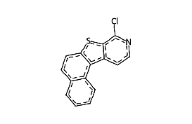 Clc1nccc2c1sc1ccc3ccccc3c12